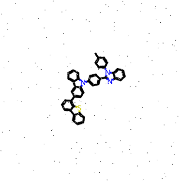 Cc1ccc(-n2c(-c3ccc(-n4c5ccccc5c5cc(-c6cccc7c6sc6ccccc67)ccc54)cc3)nc3ccccc32)cc1